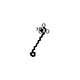 O=C1CC(=O)N(CCCCCCCCCCCCc2ccccc2)C(=O)N1